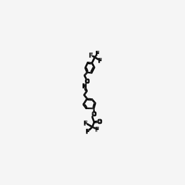 O=C(COc1ccc(CC=NOCc2ccc(C(F)(F)F)cc2)cc1)C(F)(F)F